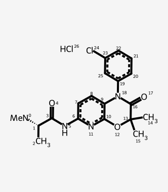 CN[C@@H](C)C(=O)Nc1ccc2c(n1)OC(C)(C)C(=O)N2c1cccc(Cl)c1.Cl